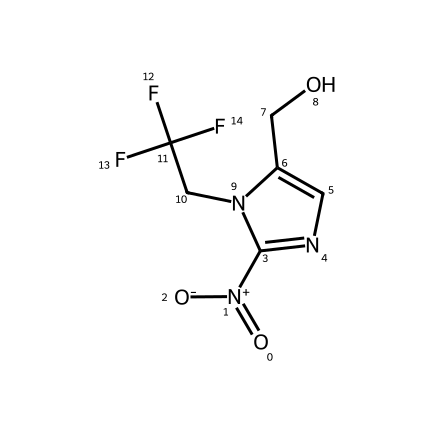 O=[N+]([O-])c1ncc(CO)n1CC(F)(F)F